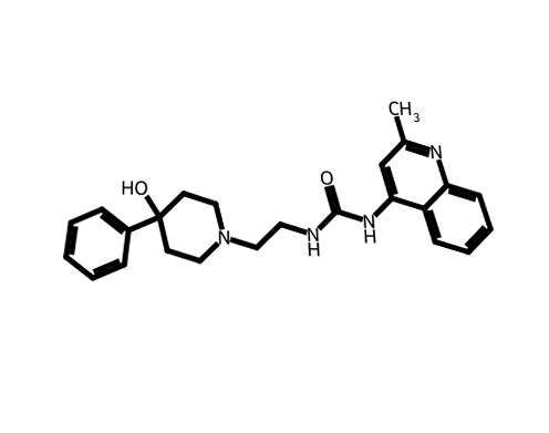 Cc1cc(NC(=O)NCCN2CCC(O)(c3ccccc3)CC2)c2ccccc2n1